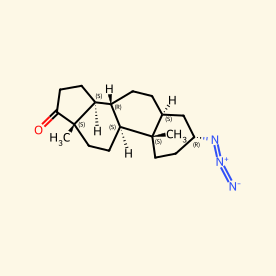 C[C@]12CC[C@@H](N=[N+]=[N-])C[C@@H]1CC[C@@H]1[C@@H]2CC[C@]2(C)C(=O)CC[C@@H]12